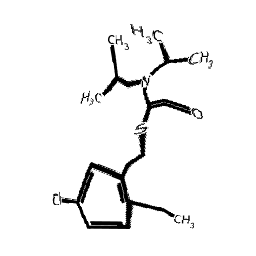 Cc1ccc(Cl)cc1CSC(=O)N(C(C)C)C(C)C